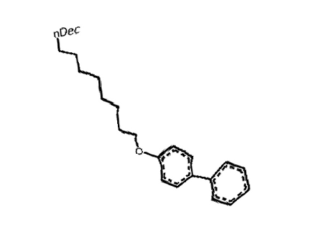 CCCCCCCCCCCCCCCCCCOc1ccc(-c2ccccc2)cc1